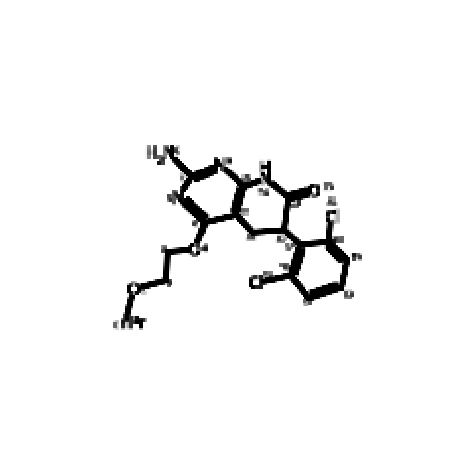 CCCOCCOc1nc(N)nc2c1CC(c1c(Cl)cccc1Cl)C(=O)N2